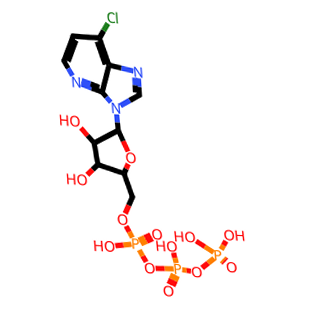 O=P(O)(O)OP(=O)(O)OP(=O)(O)OCC1OC(n2cnc3c(Cl)ccnc32)C(O)C1O